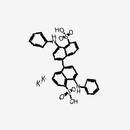 O=S(=O)(O)c1cccc2c(-c3ccc(Nc4ccccc4)c4c(S(=O)(=O)O)cccc34)ccc(Nc3ccccc3)c12.[K].[K]